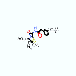 CC1(C)SC2C(NC(=O)Cc3cccc(C(=O)O)c3)C(=O)N2C1C(=O)O